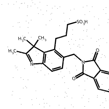 CC1=Nc2ccc(CN3C(=O)c4ccccc4C3=O)c(CCCS(=O)(=O)O)c2C1(C)C